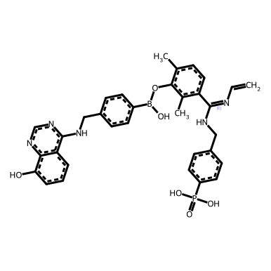 C=C/N=C(/NCc1ccc(P(=O)(O)O)cc1)c1ccc(C)c(OB(O)c2ccc(CNc3ncnc4c(O)cccc34)cc2)c1C